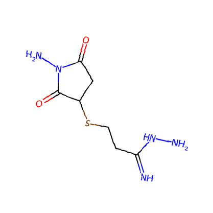 N=C(CCSC1CC(=O)N(N)C1=O)NN